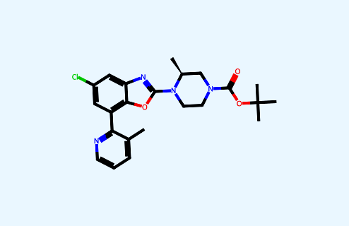 Cc1cccnc1-c1cc(Cl)cc2nc(N3CCN(C(=O)OC(C)(C)C)C[C@@H]3C)oc12